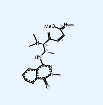 C=C(/C=C\C(=N/C)OC)[C@@H]([C@H](C)Nc1nn(C)c(=O)c2ccccc12)N(C)C